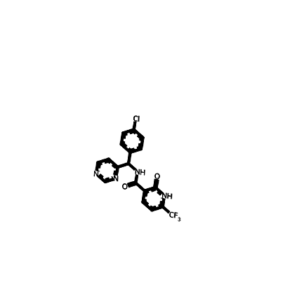 O=C(NC(c1ccc(Cl)cc1)c1ccncn1)c1ccc(C(F)(F)F)[nH]c1=O